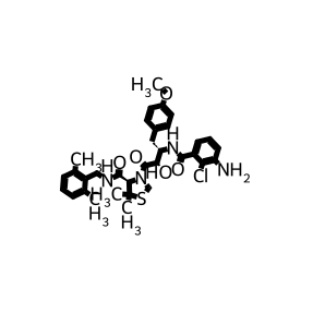 COc1ccc(C[C@H](NC(=O)c2cccc(N)c2Cl)[C@H](O)C(=O)N2CSC(C)(C)[C@H]2C(=O)NCc2c(C)cccc2C)cc1